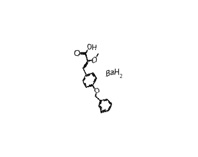 COC(=Cc1ccc(OCc2ccccc2)cc1)C(=O)O.[BaH2]